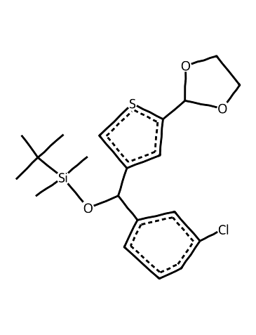 CC(C)(C)[Si](C)(C)OC(c1cccc(Cl)c1)c1csc(C2OCCO2)c1